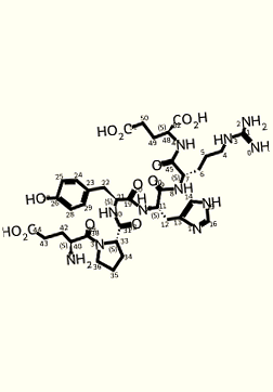 N=C(N)NCCC[C@H](NC(=O)[C@H](Cc1c[nH]cn1)NC(=O)[C@H](Cc1ccc(O)cc1)NC(=O)[C@@H]1CCCN1C(=O)[C@@H](N)CCC(=O)O)C(=O)N[C@@H](CCC(=O)O)C(=O)O